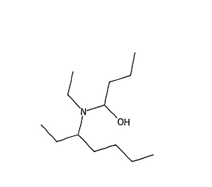 CCCCC(CC)N(CC)C(O)CCC